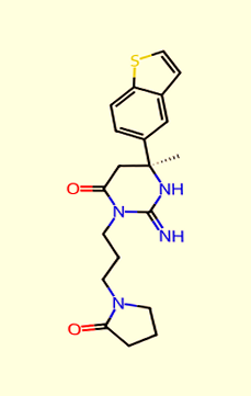 C[C@@]1(c2ccc3sccc3c2)CC(=O)N(CCCN2CCCC2=O)C(=N)N1